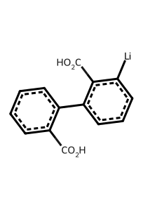 [Li][c]1cccc(-c2ccccc2C(=O)O)c1C(=O)O